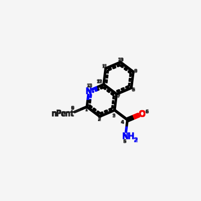 CCCCCc1cc(C(N)=O)c2ccccc2n1